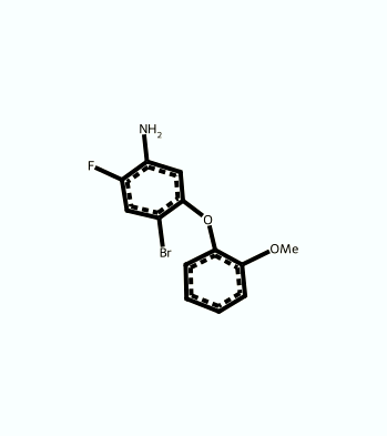 COc1ccccc1Oc1cc(N)c(F)cc1Br